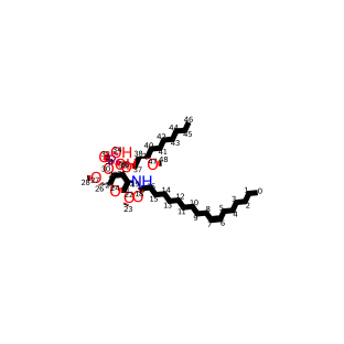 CCCCCC/C=C\CCCCCCCCCC(=O)N[C@H]1[C@H](OC)O[C@H](COC)[C@@H](OP(=O)(O)O)[C@@H]1OCC[C@@H](CCCCCCC)OC